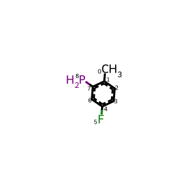 Cc1ccc(F)cc1P